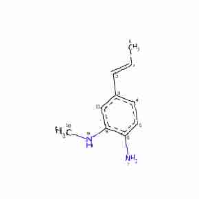 C/C=C/c1ccc(N)c(NC)c1